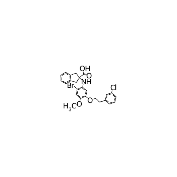 COc1cc(Br)c(NC2(C(=O)O)Cc3ccccc3C2)cc1OCCc1cccc(Cl)c1